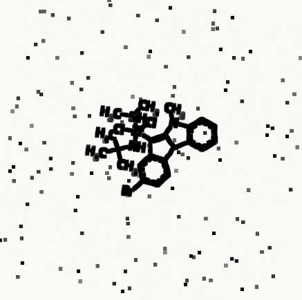 CN1C2=[C]([Zr]([Cl])([Cl])([NH]C(C)(C)C)[SiH](C)C)c3cc(Br)ccc3C2c2ccccc21